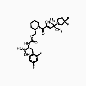 CC(C)(/C=C(\C#N)C(=O)N1CCCC[C@@H]1COC(=O)N[C@@H](Cc1ccc(F)cc1F)B(O)O)N1CCC(F)(F)C1